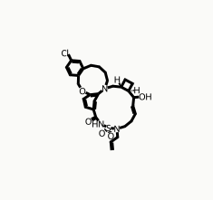 C=CCN1CC/C=C/C(O)[C@@H]2CC[C@H]2CN2CCCCc3cc(Cl)ccc3COc3ccc(cc32)C(=O)NS1(=O)=O